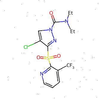 CCN(CC)C(=O)n1cc(Cl)c(S(=O)(=O)c2ncccc2C(F)(F)F)n1